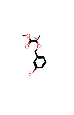 COC(=O)[C@@H](C)OCc1cccc(Br)c1